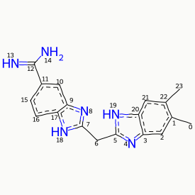 Cc1cc2nc(Cc3nc4cc(C(=N)N)ccc4[nH]3)[nH]c2cc1C